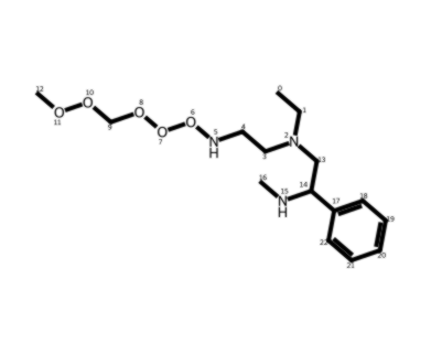 CCN(CCNOOOCOOC)CC(NC)c1ccccc1